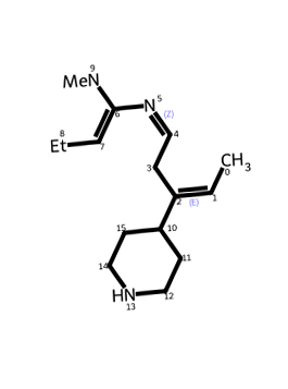 C/C=C(\C/C=N\C(=CCC)NC)C1CCNCC1